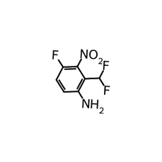 Nc1ccc(F)c([N+](=O)[O-])c1C(F)F